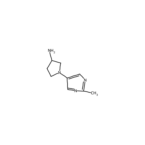 Cc1ncc(N2CCC(N)C2)cn1